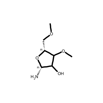 COC[C@H]1O[C@@H](N)C(O)C1OC